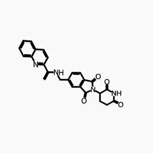 C=C(NCc1ccc2c(c1)C(=O)N(C1CCC(=O)NC1=O)C2=O)c1ccc2ccccc2n1